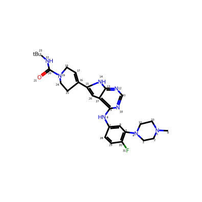 CN1CCN(c2cc(Nc3ncnc4[nH]c(C5=CCN(C(=O)NC(C)(C)C)CC5)cc34)ccc2F)CC1